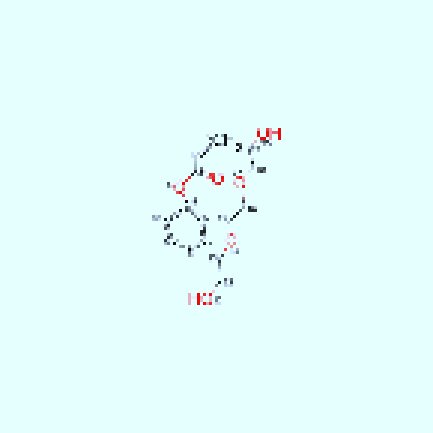 C=CC(=O)Oc1ccccc1.OCCOCCOCCO